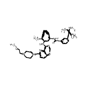 COCCN1CCN(c2ccc3ncnc(Nc4cc(NC(=O)c5cccc(C(C)(C)N)c5)ccc4C)c3n2)CC1